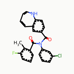 Cc1c(F)cccc1C(=O)N(C(=O)c1ccc2c(c1)C=CC=CN2)c1cccc(Cl)c1